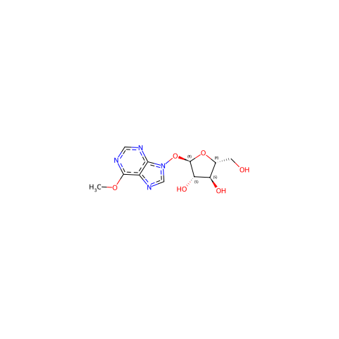 COc1ncnc2c1ncn2O[C@H]1O[C@H](CO)[C@@H](O)[C@@H]1O